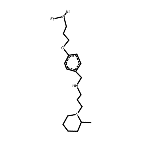 CCN(CC)CCCOc1ccc(CNCCCN2CCCCC2C)cc1